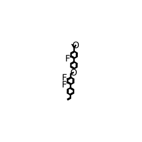 C=Cc1ccc(-c2ccc(COc3ccc(-c4ccc(C5CO5)cc4F)cc3)c(F)c2F)cc1